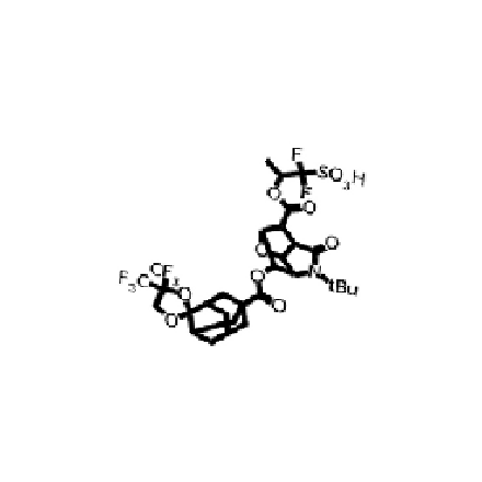 CC(OC(=O)C1C2OC3C1C(=O)N(C(C)(C)C)C3C2OC(=O)C12CC3CC(C1)C1(OCC(C(F)(F)F)(C(F)(F)F)O1)C(C3)C2)C(F)(F)S(=O)(=O)O